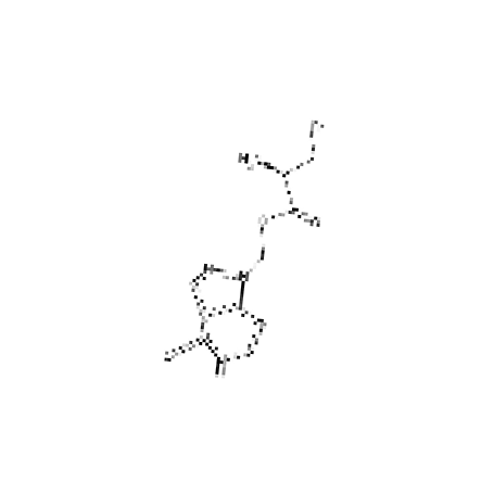 CC(C)C[C@H](N)C(=O)OCn1ncc2c(=O)[nH]cnc21